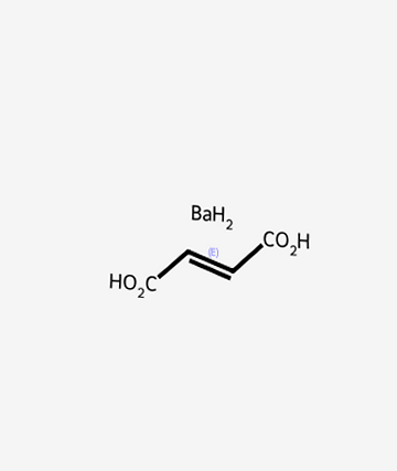 O=C(O)/C=C/C(=O)O.[BaH2]